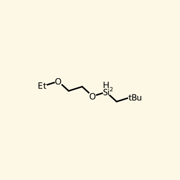 CCOCCO[SiH2]CC(C)(C)C